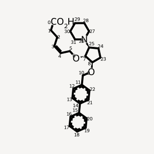 O=C(O)CC/C=C\CO[C@H]1[C@H](OCc2ccc(-c3ccccc3)cc2)CC[C@@H]1N1CCCCC1